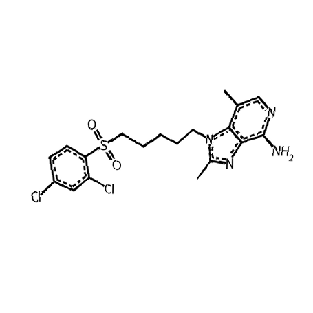 Cc1cnc(N)c2nc(C)n(CCCCCS(=O)(=O)c3ccc(Cl)cc3Cl)c12